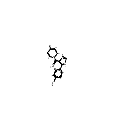 CC1CCN(C(=O)C2N=COC2c2ccc(F)cc2)CC1